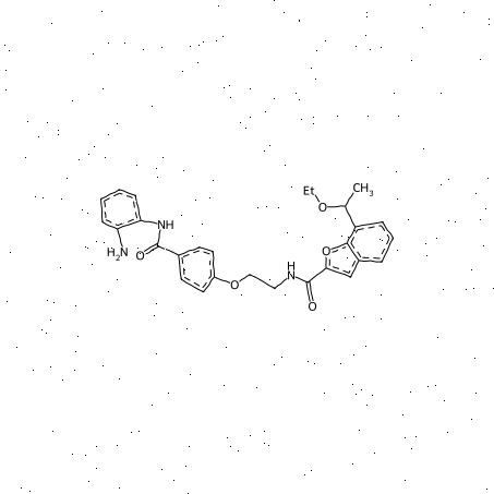 CCOC(C)c1cccc2cc(C(=O)NCCOc3ccc(C(=O)Nc4ccccc4N)cc3)oc12